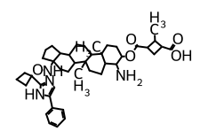 CC1C(C(=O)O)CC1C(=O)OC1CCC2(C)C(CCC3(C)C4CCC5(NOC6(c7ncc(-c8ccccc8)[nH]7)CCC6)CCCC5C4CCC23)C1N